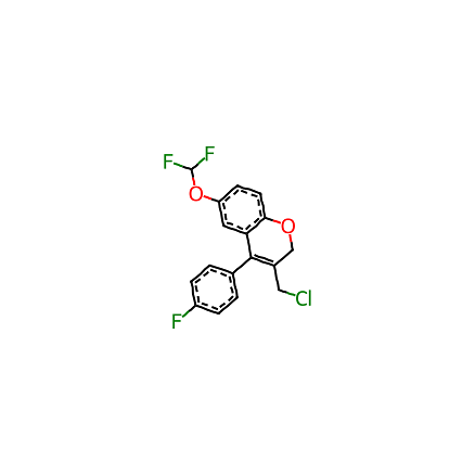 Fc1ccc(C2=C(CCl)COc3ccc(OC(F)F)cc32)cc1